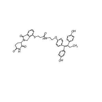 CCC(=C(c1ccc(O)cc1)c1ccc(OCCNC(=O)CCSc2cccc3c2CN(C2CCC(=O)NC2=O)C3=O)cc1)c1ccc(O)cc1